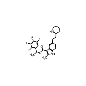 Cc1[nH]c2ccc(CCC3CCCCN3)cc2c1C(=O)OC(C)c1cc(F)c(F)c(F)c1F